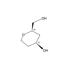 OC[C@H]1C[C@@H](O)CCO1